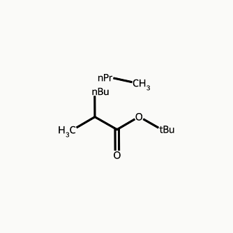 CCCC.CCCCC(C)C(=O)OC(C)(C)C